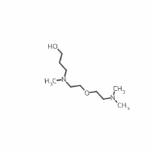 CN(C)CCOCCN(C)CCCO